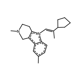 C/C(=C\n1c2c(c3cc(C)ccc31)CN(C)CC2)C1CCCC1